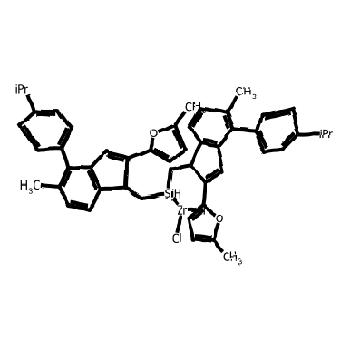 Cc1ccc(C2=Cc3c(ccc(C)c3-c3ccc(C(C)C)cc3)C2C[SiH](CC2C(c3ccc(C)o3)=Cc3c2ccc(C)c3-c2ccc(C(C)C)cc2)[Zr]([Cl])[Cl])o1